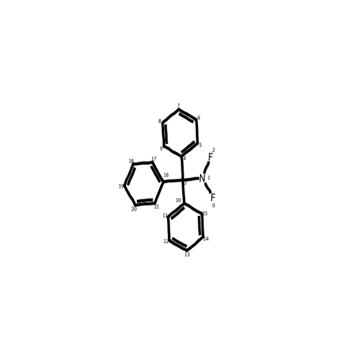 FN(F)C(c1ccccc1)(c1ccccc1)c1ccccc1